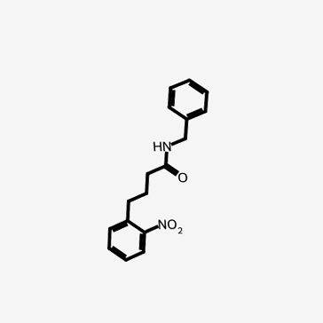 O=C(CCCc1ccccc1[N+](=O)[O-])NCc1ccccc1